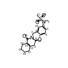 CN(c1cccc(CN2C(=O)CC3=C(CCCC3)C2=O)c1)S(C)(=O)=O